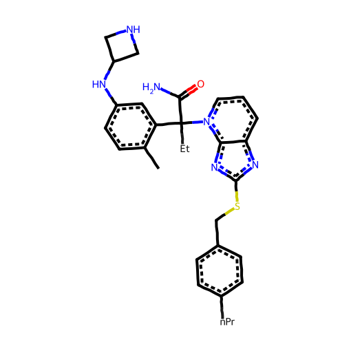 CCCc1ccc(CSc2nc3cccn(C(CC)(C(N)=O)c4cc(NC5CNC5)ccc4C)c-3n2)cc1